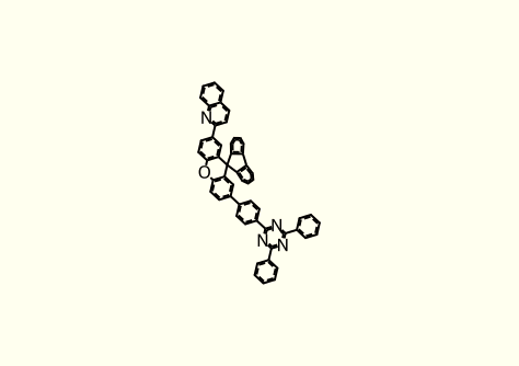 c1ccc(-c2nc(-c3ccccc3)nc(-c3ccc(-c4ccc5c(c4)C4(c6cc(-c7ccc8ccccc8n7)ccc6O5)c5ccccc5-c5ccccc54)cc3)n2)cc1